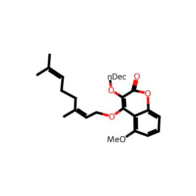 CCCCCCCCCCOc1c(OCC=C(C)CCC=C(C)C)c2c(OC)cccc2oc1=O